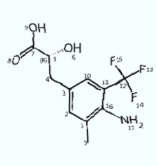 Cc1cc(C[C@@H](O)C(=O)O)cc(C(F)(F)F)c1N